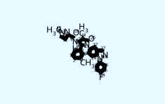 Cc1cccc(C2C(NC(=O)c3ccn(C)n3)[C@@H](C)C(=O)N2c2ccc3c(cnn3-c3ccc(F)cc3)c2)c1